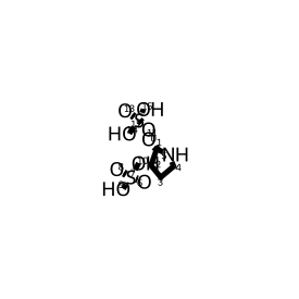 O=C1CCCN1.O=S(=O)(O)O.O=S(=O)(O)O